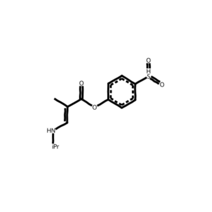 CC(=CNC(C)C)C(=O)Oc1ccc([SH](=O)=O)cc1